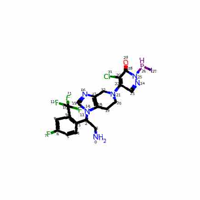 NCC(c1ccc(F)cc1C(F)(F)F)n1cnc2c1CCN(c1cnn(PI)c(=O)c1Cl)C2